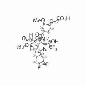 COc1cc(C(=O)NCC(O)(c2cc(C(C)(C)NC(=O)OC(C)(C)C)cc(-c3ccc(F)c(Cl)c3)n2)C(F)(F)F)ccc1OCC(=O)O